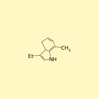 CCC1=CNC2=C(C)C=CCC12